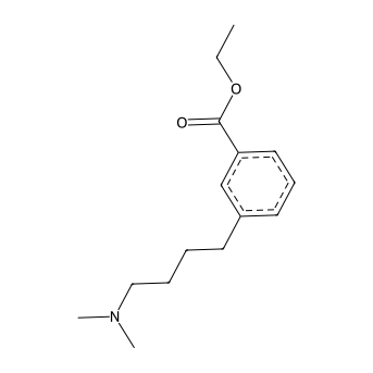 CCOC(=O)c1cccc(CCCCN(C)C)c1